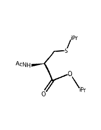 CC(=O)N[C@@H](CSC(C)C)C(=O)OC(C)C